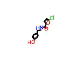 O=C(NCCc1ccc(O)cc1)c1ccc(Cl)o1